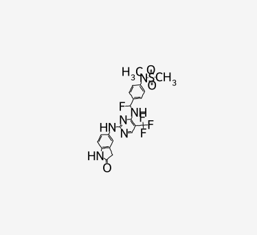 CN(c1ccc(C(F)Nc2nc(Nc3ccc4c(c3)CC(=O)N4)ncc2C(F)(F)F)cc1)S(C)(=O)=O